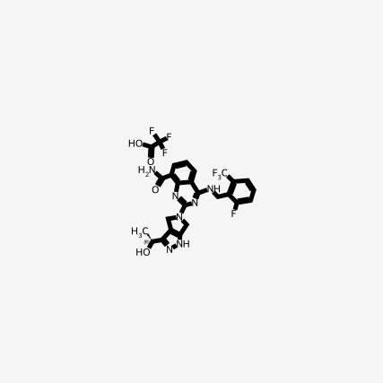 C[C@@H](O)c1n[nH]c2c1CN(c1nc(NCc3c(F)cccc3C(F)(F)F)c3cccc(C(N)=O)c3n1)C2.O=C(O)C(F)(F)F